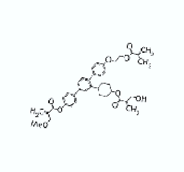 C=C(C)C(=O)OCCOc1ccc(-c2ccc(-c3ccc(OC(=O)C(=C)COC)cc3)cc2C2CCC(OC(=O)C(=C)CO)CC2)cc1